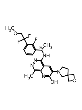 COCC(F)(F)c1cccc([C@@H](C)Nc2nnc(C)c3nc(O)c(N4CCC5(COC5)C4)cc23)c1F